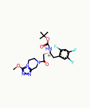 COc1nnc2n1CCN(C(=O)C[C@@H](Cc1cc(F)c(F)cc1F)NC(=O)OC(C)(C)C)C2